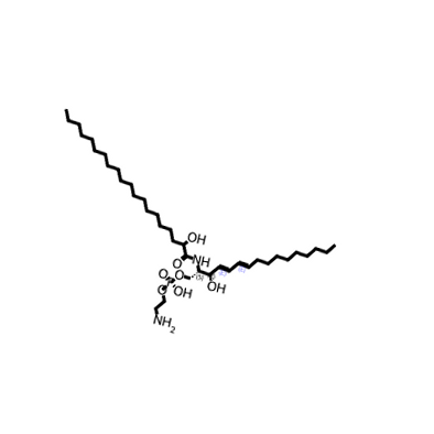 CCCCCCCCC/C=C/C=C/[C@@H](O)[C@H](COP(=O)(O)OCCN)NC(=O)C(O)CCCCCCCCCCCCCCCCCC